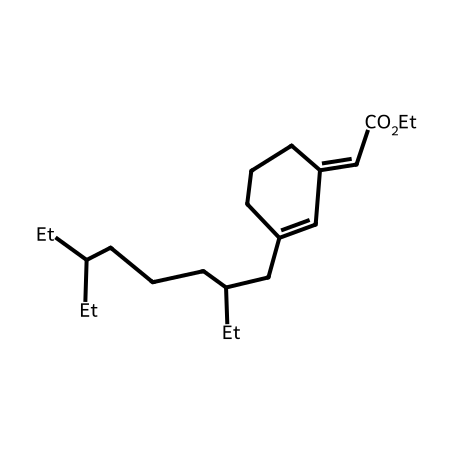 CCOC(=O)/C=C1/C=C(CC(CC)CCCC(CC)CC)CCC1